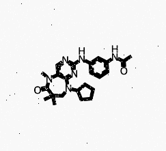 CC(=O)Nc1cccc(Nc2ncc3c(n2)N(C2CCCC2)CC(C)(C)C(=O)N3C)c1